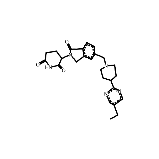 CCc1cnc(C2CCN(Cc3ccc4c(c3)CN(C3CCC(=O)NC3=O)C4=O)CC2)nc1